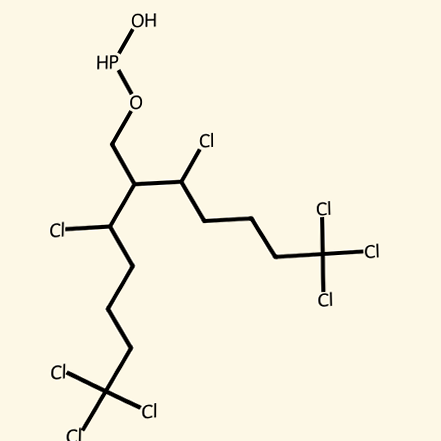 OPOCC(C(Cl)CCCC(Cl)(Cl)Cl)C(Cl)CCCC(Cl)(Cl)Cl